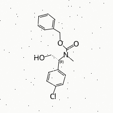 CN(C(=O)OCc1ccccc1)[C@@H](CO)c1ccc(Cl)cc1